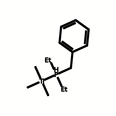 CC[PH](CC)(Cc1ccccc1)[Ti]([CH3])([CH3])[CH3]